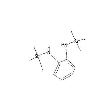 C[Si](C)(C)Nc1ccccc1N[Si](C)(C)C